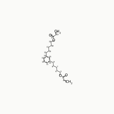 C=CC(=O)OCCCCCc1cccc(CCCCCOC(=O)C=C)c1